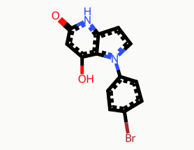 O=c1cc(O)c2c(ccn2-c2ccc(Br)cc2)[nH]1